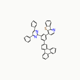 c1ccc(-c2cc(-c3ccccc3)nc(-c3cc(-c4ccc5c6ccccc6c6ccccc6c5c4)cc(-c4ccnc5c4sc4ccccc45)c3)n2)cc1